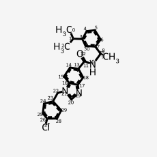 CC(C)c1cccc([C@@H](C)NC(=O)c2ccc3c(c2)ncn3Cc2ccc(Cl)cc2)c1